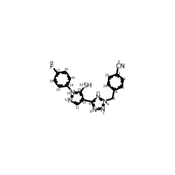 N#Cc1ccc(Cn2nnc(-c3cnn(-c4ccc(F)cc4)c3S)n2)cc1